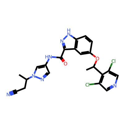 CC(Oc1ccc2[nH]nc(C(=O)Nc3cnn(C(C)CC#N)c3)c2c1)c1c(Cl)cncc1Cl